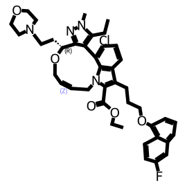 CCOC(=O)c1c(CCCOc2cccc3cc(F)ccc23)c2ccc(Cl)c3c2n1C/C=C\CO[C@H](CCN1CCOCC1)c1nn(C)c(CC)c1-3